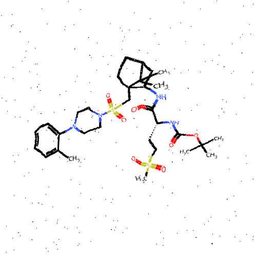 Cc1ccccc1N1CCN(S(=O)(=O)CC23CCC(CC2NC(=O)[C@@H](CCS(C)(=O)=O)NC(=O)OC(C)(C)C)C3(C)C)CC1